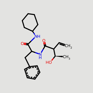 C=CC(C(=O)NC(Cc1ccccc1)C(=O)NC1CCCCC1)[C@@H](C)O